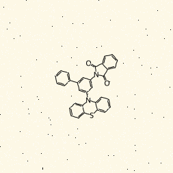 O=C1c2ccccc2C(=O)N1c1cc(-c2ccccc2)cc(N2c3ccccc3Sc3ccccc32)c1